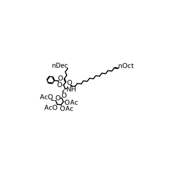 CCCCCCCC/C=C/CCCCCCCCCCCCCC(=O)N[C@@H](CO[C@@H]1O[C@H](COC(C)=O)[C@H](OC(C)=O)[C@H](OC(C)=O)[C@H]1OC(C)=O)[C@@H](/C=C/CCCCCCCCCCCCC)OC(=O)c1ccccc1